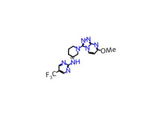 COc1ccn2c(N3CCC[C@@H](Nc4ncc(C(F)(F)F)cn4)C3)nnc2n1